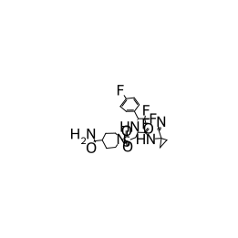 N#CC1(NC(=O)C(CS(=O)(=O)N2CCC(C(N)=O)CC2)N[C@H](c2ccc(F)cc2)C(F)(F)F)CC1